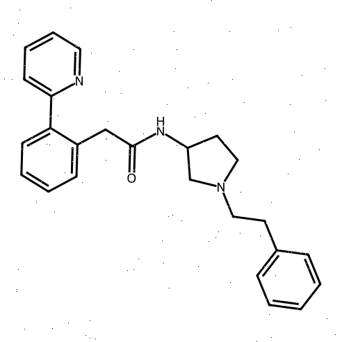 O=C(Cc1ccccc1-c1ccccn1)NC1CCN(CCc2ccccc2)C1